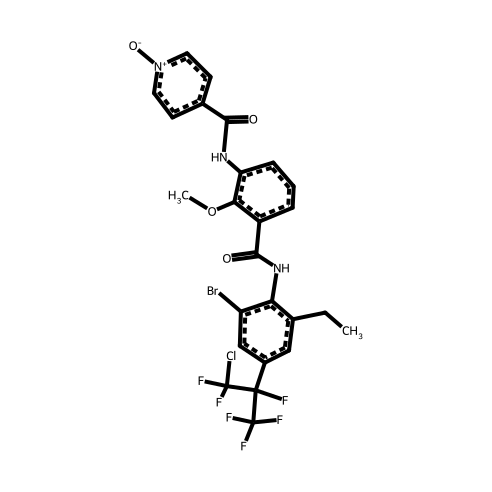 CCc1cc(C(F)(C(F)(F)F)C(F)(F)Cl)cc(Br)c1NC(=O)c1cccc(NC(=O)c2cc[n+]([O-])cc2)c1OC